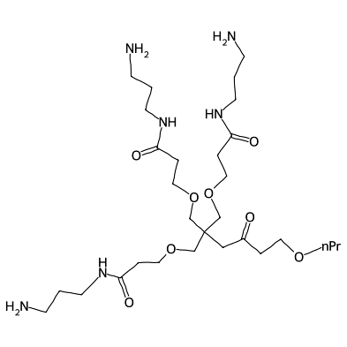 CCCOCCC(=O)CC(COCCC(=O)NCCCN)(COCCC(=O)NCCCN)COCCC(=O)NCCCN